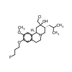 COc1cc2c(cc1OCCCF)CCN1C[C@@H](CC(C)C)[C@@](O)(CCl)C[C@H]21